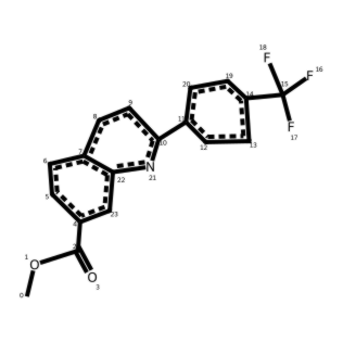 COC(=O)c1ccc2ccc(-c3ccc(C(F)(F)F)cc3)nc2c1